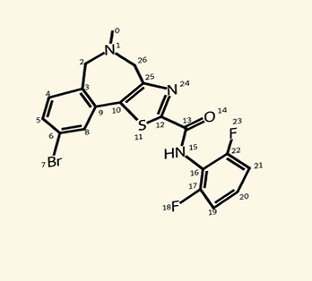 CN1Cc2ccc(Br)cc2-c2sc(C(=O)Nc3c(F)cccc3F)nc2C1